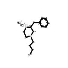 Cl.Cl.ClCCCN1CCNC(Cc2ccccc2)C1